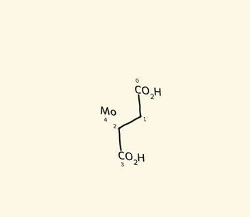 O=C(O)CCC(=O)O.[Mo]